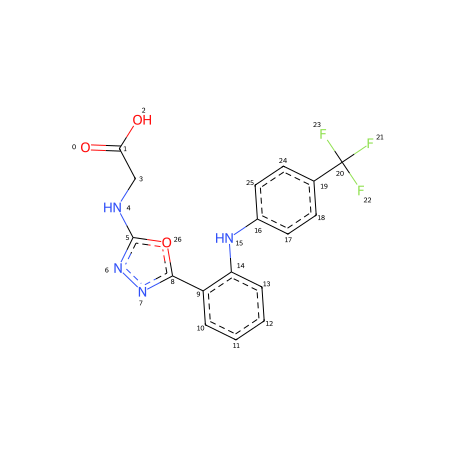 O=C(O)CNc1nnc(-c2ccccc2Nc2ccc(C(F)(F)F)cc2)o1